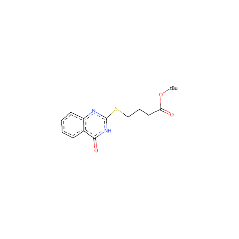 CC(C)(C)OC(=O)CCCSc1nc2ccccc2c(=O)[nH]1